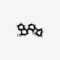 Clc1ccc(-c2cccc3c2oc2ccccc23)c2ccccc12